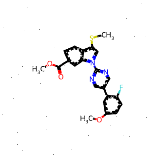 COC(=O)c1ccc2c(SC)cn(-c3ncc(-c4cc(OC)ccc4F)cn3)c2c1